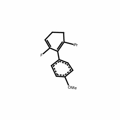 COc1ccc(C2=C(C(C)C)[CH]CC=C2F)cc1